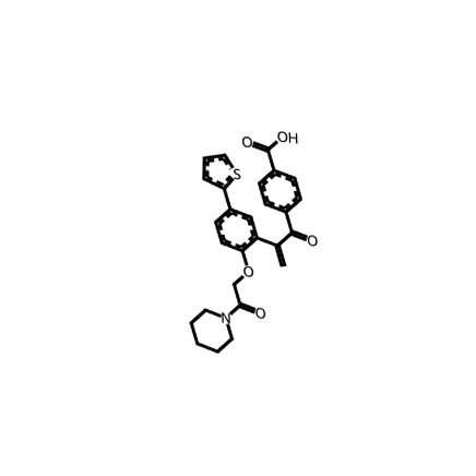 C=C(C(=O)c1ccc(C(=O)O)cc1)c1cc(-c2cccs2)ccc1OCC(=O)N1CCCCC1